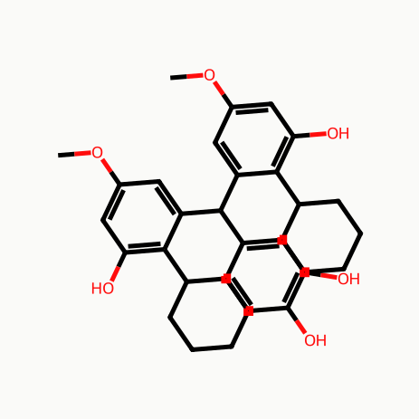 COc1cc(O)c(C2CCCCC2)c(C(c2ccc(O)c(O)c2)c2cc(OC)cc(O)c2C2CCCCC2)c1